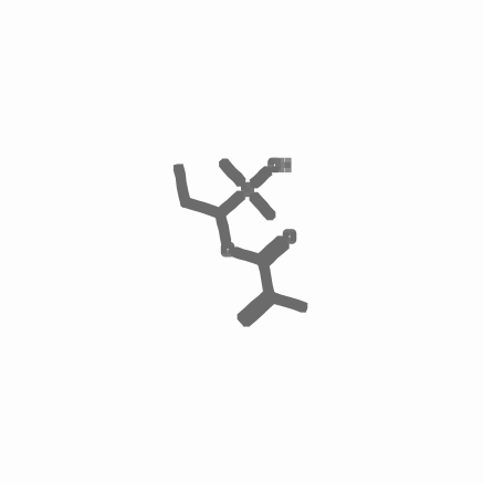 C=C(C)C(=O)OC(CC)[Si](C)(C)O